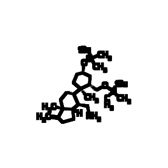 C=C1CC[C@H]2[C@H](CN)[C@@H]([C@@]3(C)CC[C@H](O[Si](C)(C)C(C)(C)C)C[C@@H]3CO[Si](C)(C)C(C)(C)C)CC[C@]12C